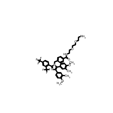 COc1ccc(-c2nc(-c3ccc(C(F)(F)F)cc3C(F)(F)F)n(Cc3ccc(C(=O)NCCOCCOCCN)cc3)c2-c2ccc(OC)c(C)c2)cc1C